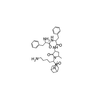 CC1CC(NC(=O)C(Cc2ccccc2)NC(=O)C(N)Cc2ccccc2)C(=O)N1C(CCCCN)C(=O)N1C2CC1CN(C)C2